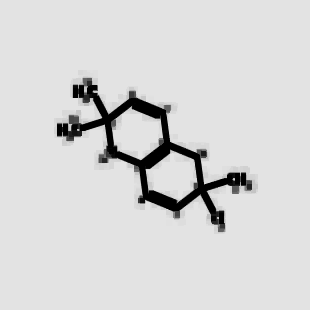 CC1(Cl)C=CC2=C(C=CC(C)(C)[N]2)C1